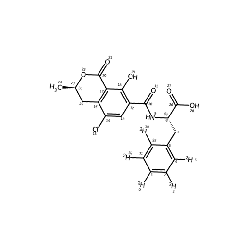 [2H]c1c([2H])c([2H])c(C[C@H](NC(=O)c2cc(Cl)c3c(c2O)C(=O)O[C@H](C)C3)C(=O)O)c([2H])c1[2H]